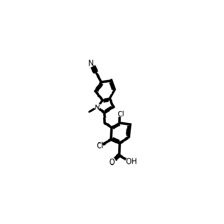 Cn1c(Cc2c(Cl)ccc(C(=O)O)c2Cl)cc2ccc(C#N)cc21